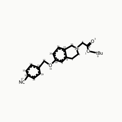 CC(C)(C)OC(=O)CN1CCc2cc(OCc3ccc(C#N)cc3)ccc2C1